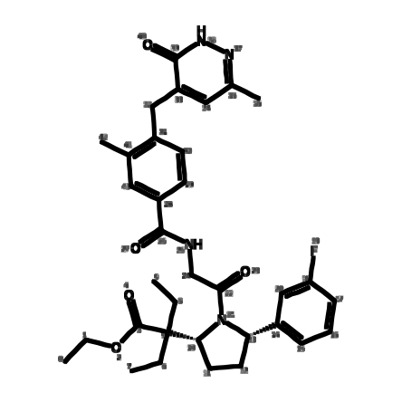 CCOC(=O)C(CC)(CC)[C@H]1CC[C@@H](c2cccc(F)c2)N1C(=O)CNC(=O)c1ccc(Cc2cc(C)n[nH]c2=O)c(C)c1